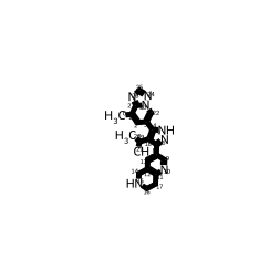 Cc1cc(-c2[nH]nc(-c3cnc4c(c3)CNCC4)c2C(C)C)cn2ncnc12